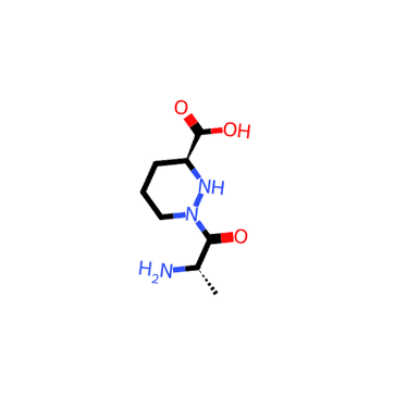 C[C@H](N)C(=O)N1CCC[C@@H](C(=O)O)N1